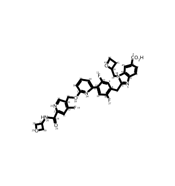 O=C(O)c1ccc2nc(Cc3cc(F)c(-c4cccc(OCc5cnc(C(=O)NC6COC6)cc5F)n4)cc3F)n(CC3CCO3)c2c1